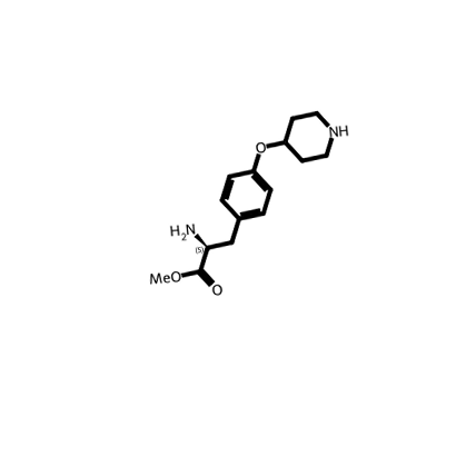 COC(=O)[C@@H](N)Cc1ccc(OC2CCNCC2)cc1